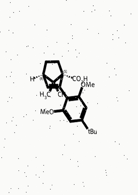 COc1cc(C(C)(C)C)cc(OC)c1C1=C[C@H]2CC[C@]1(C(=O)O)C2(C)C